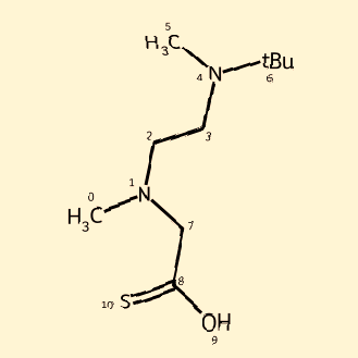 CN(CCN(C)C(C)(C)C)CC(O)=S